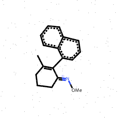 CO/N=C1\CCCC(C)=C1c1cccc2ccccc12